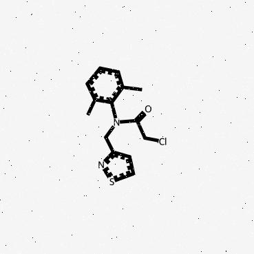 Cc1cccc(C)c1N(Cc1ccsn1)C(=O)CCl